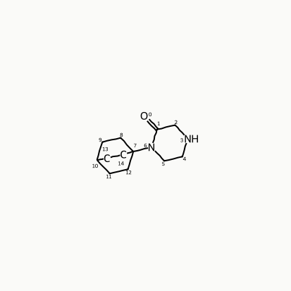 O=C1CNCCN1C12CCC(CC1)CC2